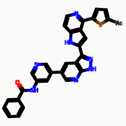 CC(=O)c1ccc(-c2nccc3[nH]c(-c4n[nH]c5ncc(-c6cncc(NC(=O)c7ccccc7)c6)cc45)cc23)s1